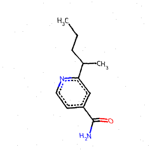 CCCC(C)c1cc(C(N)=O)ccn1